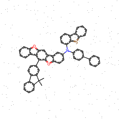 CC1(C)c2ccccc2-c2ccc(-c3c4oc5ccc(N(c6ccc(-c7ccccc7)cc6)c6cccc7c6sc6ccccc67)cc5c4cc4oc5ccccc5c34)cc21